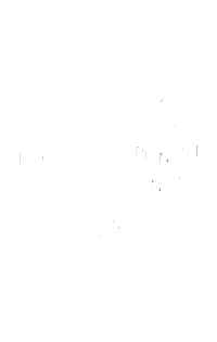 [2H]C(c1ccccc1OCCCCCC(=O)O)N(C(=O)N1CCC(c2ccco2)CC1)C(C)C